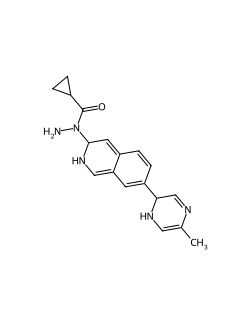 CC1=CNC(c2ccc3c(c2)=CNC(N(N)C(=O)C2CC2)C=3)C=N1